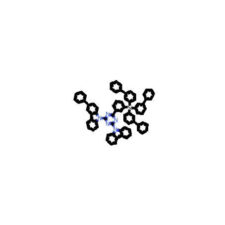 c1ccc(-c2cccc([Si](c3cccc(-c4ccccc4)c3)(c3cccc(-c4ccccc4)c3)c3cccc(-c4nc(-n5c6ccccc6c6ccccc65)nc(-n5c6ccccc6c6cc(-c7ccccc7)ccc65)n4)c3)c2)cc1